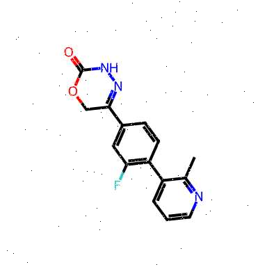 Cc1ncccc1-c1ccc(C2=NNC(=O)OC2)cc1F